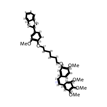 COc1cc(-c2nc3ccccc3s2)ccc1OCCCCCCOc1cc(/C=C\c2cc(OC)c(OC)c(OC)c2)ccc1OC